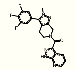 Cn1nc2c(c1-c1cc(F)c(F)c(F)c1)CCN(C(=O)c1n[nH]c3ncccc13)C2